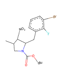 CC1CN(C(=O)OC(C)(C)C)C(Cc2cccc(Br)c2F)C1[N+](=O)[O-]